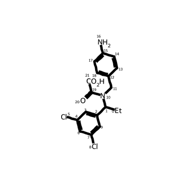 CCC(c1cc(Cl)cc(Cl)c1)N(Cc1ccc(N)cc1)C(=O)C(=O)O